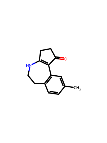 Cc1ccc2c(c1)C1=C(CCC1=O)NCC2